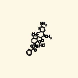 CC1=C(CC(=O)N(C)c2ccc(N)nc2C)C(=O)N(NS(=O)(=O)c2ccccc2)CC1.Cl